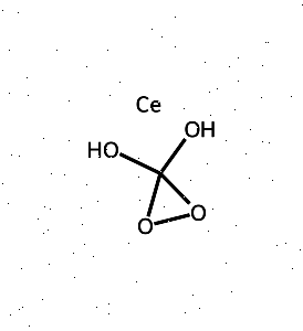 OC1(O)OO1.[Ce]